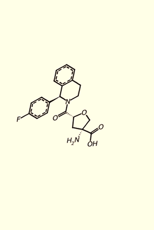 N[C@@]1(C(=O)O)CO[C@@H](C(=O)N2CCc3ccccc3[C@@H]2c2ccc(F)cc2)C1